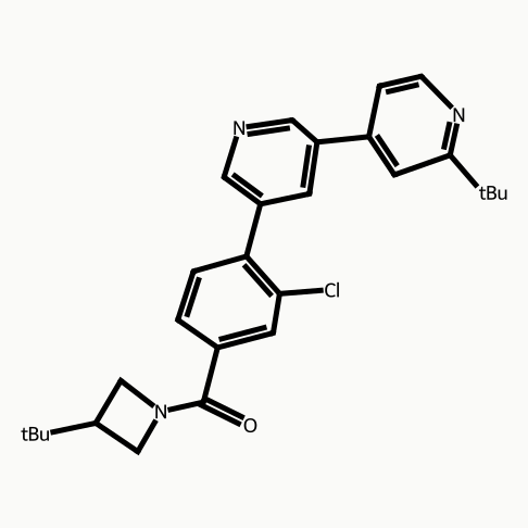 CC(C)(C)c1cc(-c2cncc(-c3ccc(C(=O)N4CC(C(C)(C)C)C4)cc3Cl)c2)ccn1